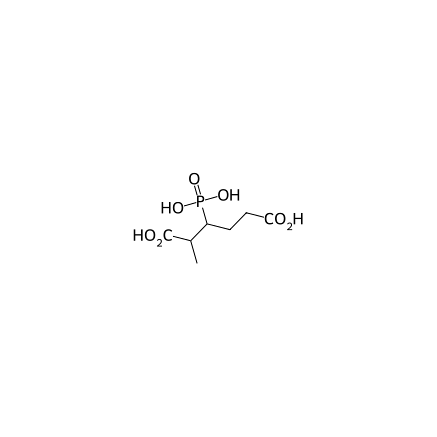 CC(C(=O)O)C(CCC(=O)O)P(=O)(O)O